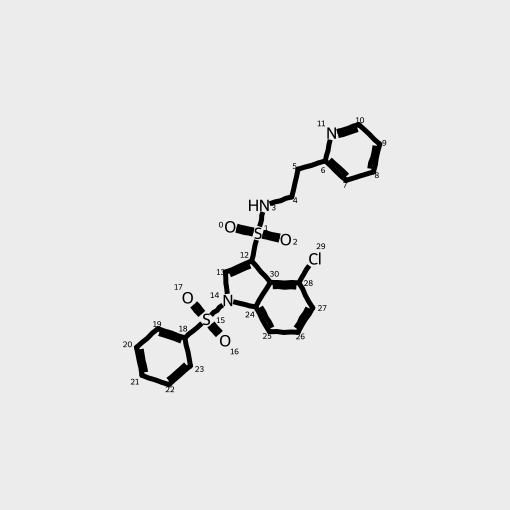 O=S(=O)(NCCc1ccccn1)c1cn(S(=O)(=O)c2ccccc2)c2cccc(Cl)c12